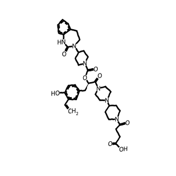 C=Cc1cc(C[C@@H](OC(=O)N2CCC(N3CCc4ccccc4NC3=O)CC2)C(=O)N2CCN(C3CCN(C(=O)CCC(=O)O)CC3)CC2)ccc1O